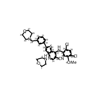 C1COCCN1.COc1cc(Nc2c(C#N)cnc3cc(-c4cccc(CN5CCOCC5)c4)sc23)c(Cl)cc1Cl